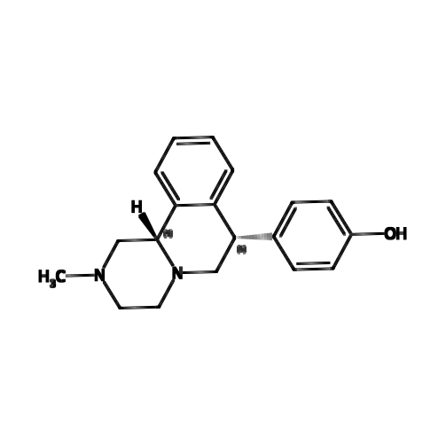 CN1CCN2C[C@@H](c3ccc(O)cc3)c3ccccc3[C@H]2C1